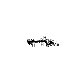 C=C(CCCC(=O)OCC(OC)OC(CC)CO)NCCNC(=O)CCOCCOCCNC(=O)CCN1C(=O)C=CC1=O